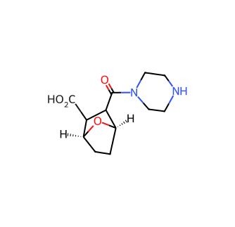 O=C(O)C1C(C(=O)N2CCNCC2)[C@H]2CC[C@@H]1O2